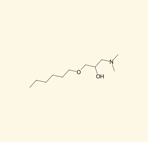 CCCCCCOCC(O)CN(C)C